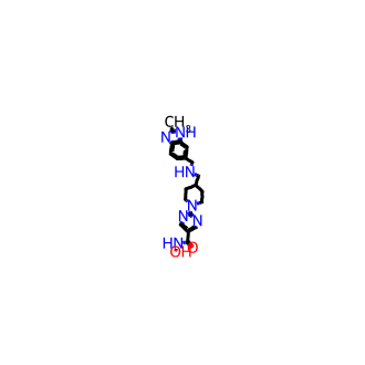 Cc1nc2ccc(CNCC3CCN(c4ncc(C(=O)NO)cn4)CC3)cc2[nH]1